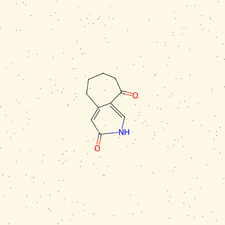 O=C1CCCCc2cc(=O)[nH]cc21